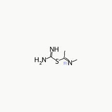 C/N=C(\C)SC(=N)N